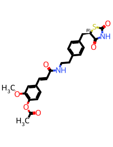 COc1cc(C=CC(=O)NCCc2ccc(C[C@H]3SC(=O)NC3=O)cc2)ccc1OC(C)=O